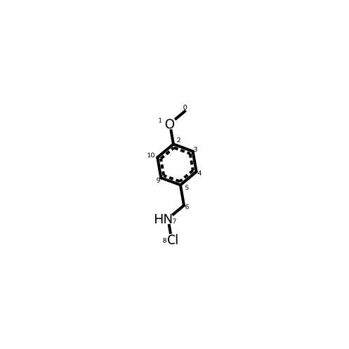 COc1ccc(CNCl)cc1